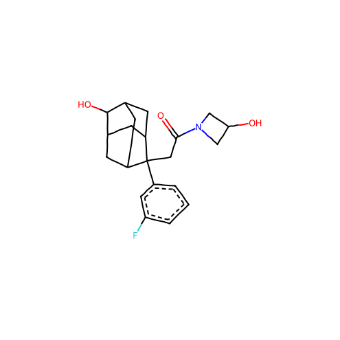 O=C(CC1(c2cccc(F)c2)C2CC3CC1CC(C2)C3O)N1CC(O)C1